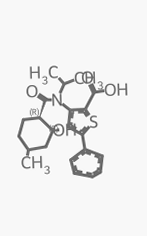 CC1CC[C@@H](C(=O)N(c2cc(-c3ccccc3)sc2C(=O)O)C(C)C)[C@@H](O)C1